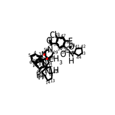 Cc1nc2ccccc2n1[C@H]1C[C@H]2CC[C@@H](C1)N2CCC1(c2cccc(F)c2)CCN(C(=O)c2cc(S(=O)(=O)NC3CCCC3)c(F)cc2Cl)CC1